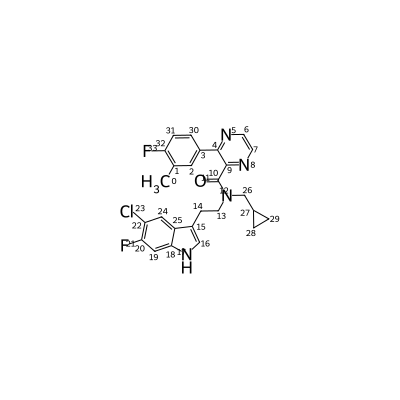 Cc1cc(-c2nccnc2C(=O)N(CCc2c[nH]c3cc(F)c(Cl)cc23)CC2CC2)ccc1F